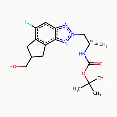 C[C@@H](Cn1nc2cc(F)c3c(c2n1)CC(CO)C3)NC(=O)OC(C)(C)C